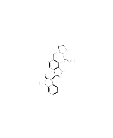 O=C1Nc2ccccc2C1=C1OCc2cc(CN3CCC[C@H]3CO)ccc21